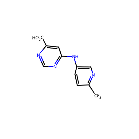 O=C(O)c1cc(Nc2ccc(C(F)(F)F)nc2)ncn1